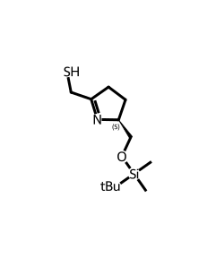 CC(C)(C)[Si](C)(C)OC[C@@H]1CCC(CS)=N1